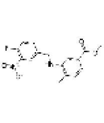 COC(=O)c1ccc(C)c(NCc2ccc(F)c([N+](=O)[O-])c2)c1